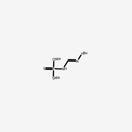 CCCC/N=C/NP(=S)(OC)SC